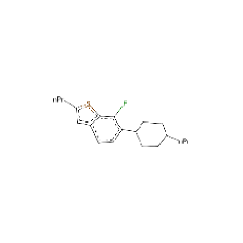 CCCc1cc2ccc(C3CCC(CCC)CC3)c(F)c2s1